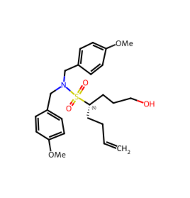 C=CCC[C@@H](CCCO)S(=O)(=O)N(Cc1ccc(OC)cc1)Cc1ccc(OC)cc1